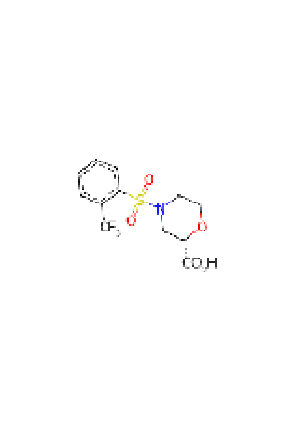 O=C(O)[C@@H]1CN(S(=O)(=O)c2ccccc2C(F)(F)F)CCO1